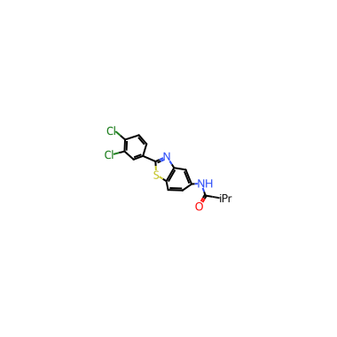 CC(C)C(=O)Nc1ccc2sc(-c3ccc(Cl)c(Cl)c3)nc2c1